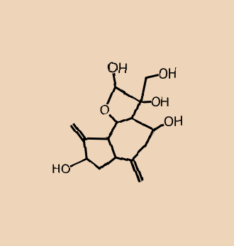 C=C1CC(O)C2C(OC(O)C2(O)CO)C2C(=C)C(O)CC12